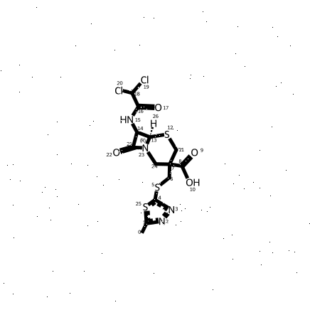 Cc1nnc(SCC2(C(=O)O)CS[C@@H]3C(NC(=O)C(Cl)Cl)C(=O)N3C2)s1